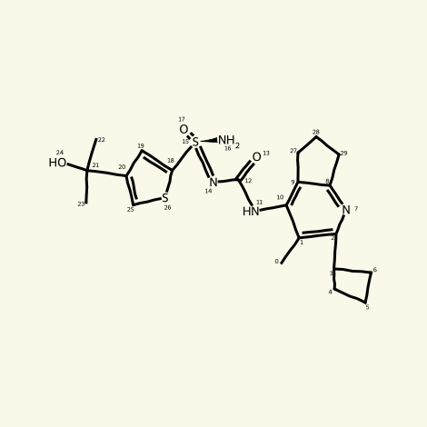 Cc1c(C2CCC2)nc2c(c1NC(=O)N=[S@@](N)(=O)c1cc(C(C)(C)O)cs1)CCC2